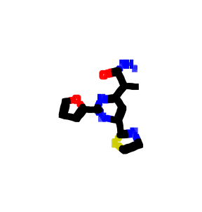 CC(C(N)=O)c1cc(-c2nccs2)nc(-c2ccco2)n1